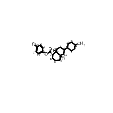 CC1CCC(C2CC[C@@H]3[C@@H](CCC[C@@H]3C(=O)Oc3ccc(F)cc3)C2)CC1